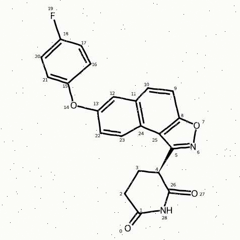 O=C1CC[C@@H](c2noc3ccc4cc(Oc5ccc(F)cc5)ccc4c23)C(=O)N1